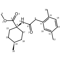 COC(=O)[C@]1(NC(=O)Cc2cc(C)ccc2C)CC[C@@H](C)CC1